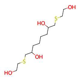 OCCSCC(O)CCCCC(O)CSCCO